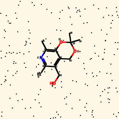 CCc1nc(C)c2c(c1CO)COC(C)(C)O2